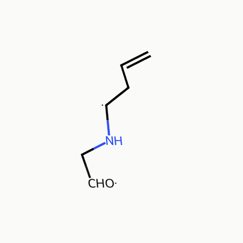 C=CC[CH]NC[C]=O